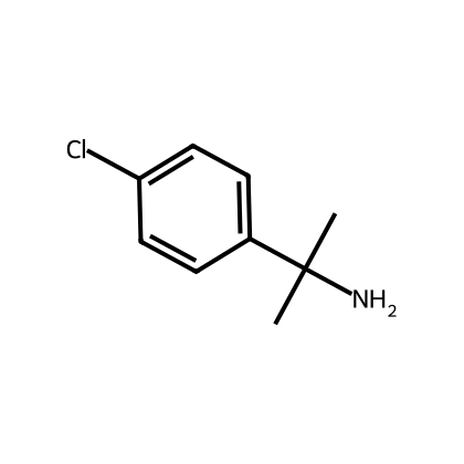 CC(C)(N)c1ccc(Cl)cc1